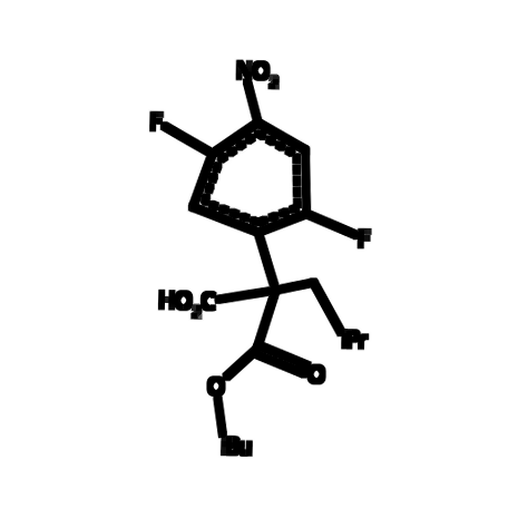 CCC(C)OC(=O)C(CC(C)C)(C(=O)O)c1cc(F)c([N+](=O)[O-])cc1F